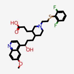 COc1ccc2nccc([C@@H](O)CCC3CCN(CCSc4c(F)cccc4F)CC3CCC(=O)O)c2c1